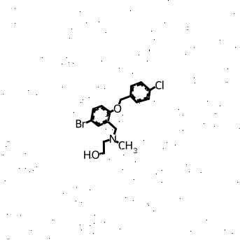 CN(CCO)Cc1cc(Br)ccc1OCc1ccc(Cl)cc1